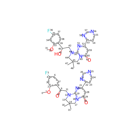 COc1cc(F)ccc1C(=O)CN1CC(C)(C)Cn2c1nc(-c1ccncn1)cc2=O.COc1cc(F)ccc1C(O)CN1CC(C)(C)Cn2c1nc(-c1ccncn1)cc2=O